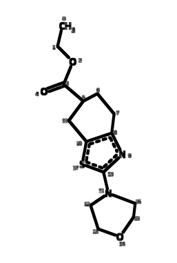 CCOC(=O)C1CCc2nc(N3CCOCC3)sc2C1